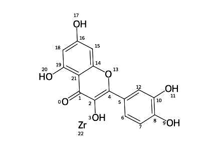 O=c1c(O)c(-c2ccc(O)c(O)c2)oc2cc(O)cc(O)c12.[Zr]